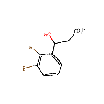 O=C(O)CC(O)c1cccc(Br)c1Br